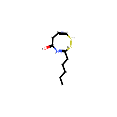 CCCCC/C1=N/C(=O)C/C=C\SS1